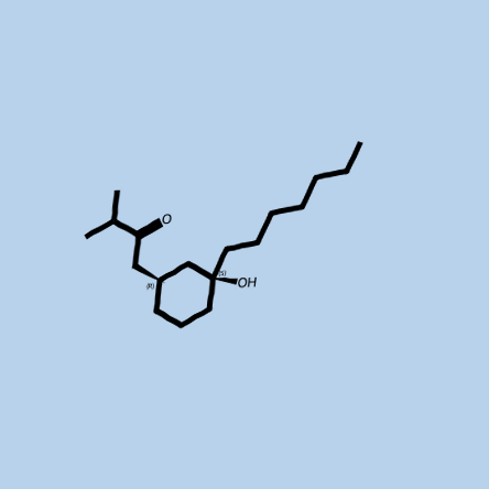 CCCCCCC[C@]1(O)CCC[C@@H](CC(=O)C(C)C)C1